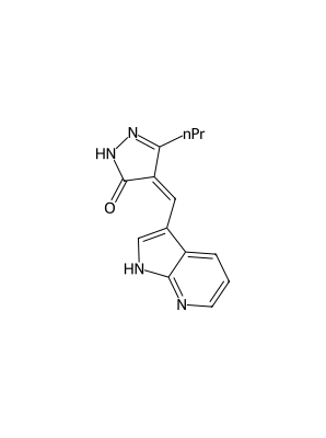 CCCC1=NNC(=O)/C1=C\c1c[nH]c2ncccc12